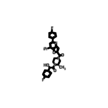 CC(C)c1cc(-c2ccc(F)cc2)nc2cc(C(=O)N3CCN(C(=O)C(O)c4ccc(F)cc4)[C@@H](C)C3)oc12